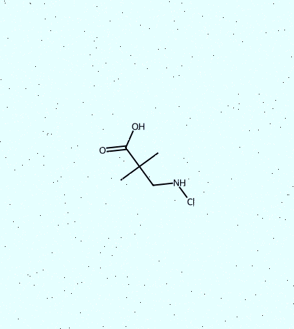 CC(C)(CNCl)C(=O)O